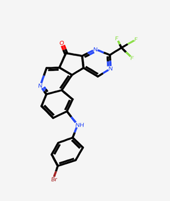 O=C1c2cnc3ccc(Nc4ccc(Br)cc4)cc3c2-c2cnc(C(F)(F)F)nc21